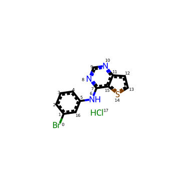 Brc1cccc(Nc2ncnc3ccsc23)c1.Cl